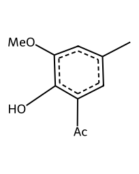 COc1cc(C)cc(C(C)=O)c1O